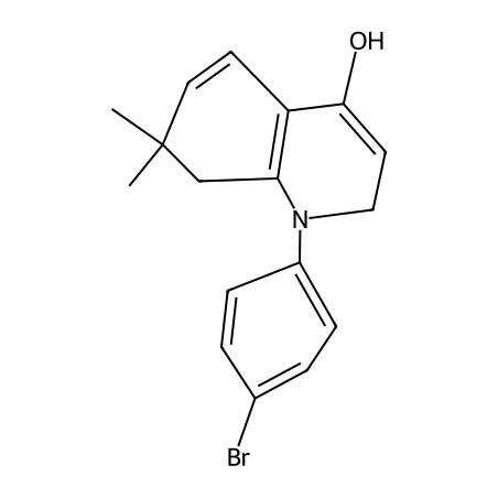 CC1(C)C=CC2=C(C1)N(c1ccc(Br)cc1)CC=C2O